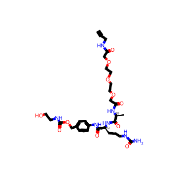 C#CCNC(=O)COCCOCCOCC(=O)N[C@@H](C)C(=O)N[C@@H](CCCNC(N)=O)C(=O)Nc1ccc(COC(=O)NCCO)cc1